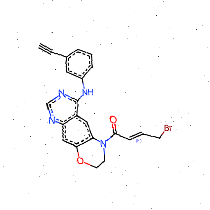 C#Cc1cccc(Nc2ncnc3cc4c(cc23)N(C(=O)/C=C/CBr)CCO4)c1